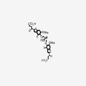 COc1cc2sc(C(=O)CCC(=O)O)cc2c(F)c1OCP(=O)(O)COc1c(OC)cc2sc(C(=O)CCC(=O)O)cc2c1F